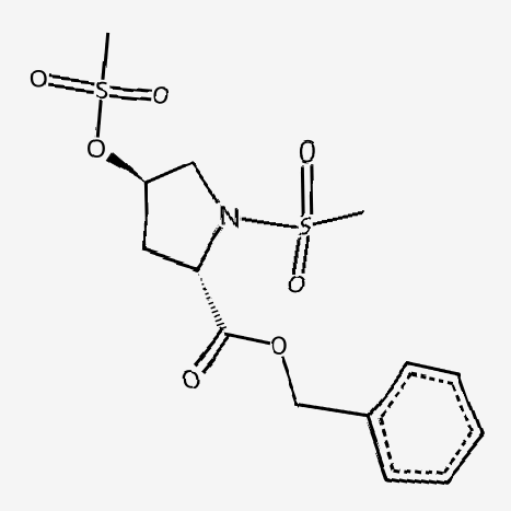 CS(=O)(=O)O[C@@H]1C[C@@H](C(=O)OCc2ccccc2)N(S(C)(=O)=O)C1